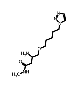 CNC(=O)CC(N)COCCCCCn1ccnn1